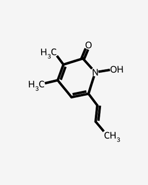 CC=Cc1cc(C)c(C)c(=O)n1O